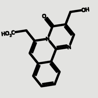 O=C(O)Cc1cc2ccccc2c2ncc(CO)c(=O)n12